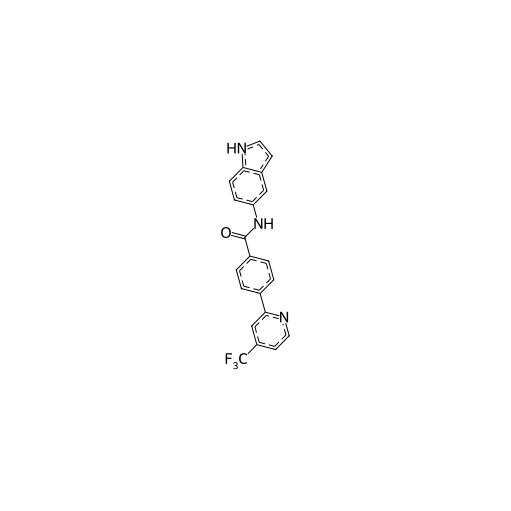 O=C(Nc1ccc2[nH]ccc2c1)c1ccc(-c2cc(C(F)(F)F)ccn2)cc1